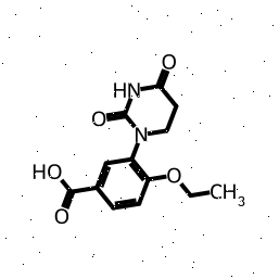 CCOc1ccc(C(=O)O)cc1N1CCC(=O)NC1=O